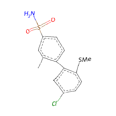 CSc1ccc(Cl)cc1-c1ccc(S(N)(=O)=O)cc1C